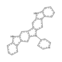 c1ccc2c(c1)[nH]c1cc3c4cc5[nH]c6ccccc6c5cc4n(-c4ccncc4)c3cc12